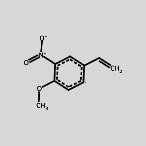 C=Cc1[c]cc(OC)c([N+](=O)[O-])c1